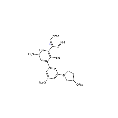 CN/C=C(\C=N)C1=C(C#N)C(c2cc(OC)cc(N3CCC(OC)C3)c2)=CC(N)N1